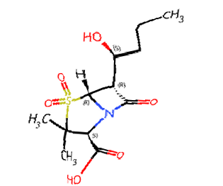 CCC[C@H](O)[C@@H]1C(=O)N2[C@@H](C(=O)O)C(C)(C)S(=O)(=O)[C@H]12